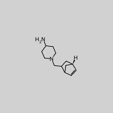 NC1CCN(CC2C[C@@H]3C=CC2C3)CC1